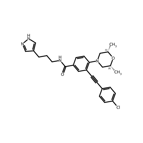 C[C@@H]1CN(c2ccc(C(=O)NCCCc3cn[nH]c3)cc2C#Cc2ccc(Cl)cc2)C[C@H](C)O1